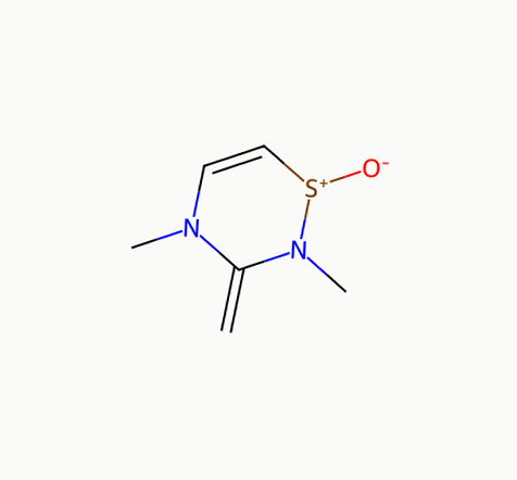 C=C1N(C)C=C[S+]([O-])N1C